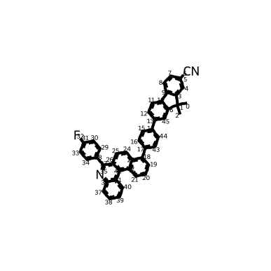 CC1(C)c2cc(C#N)ccc2-c2ccc(-c3ccc(-c4cccc5c4ccc4c(-c6ccc(F)cc6)nc6ccccc6c45)cc3)cc21